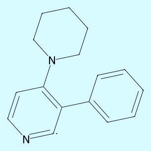 [c]1nccc(N2CCCCC2)c1-c1ccccc1